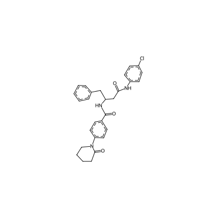 O=C(CC(Cc1ccccc1)NC(=O)c1ccc(N2CCCCC2=O)cc1)Nc1ccc(Cl)cc1